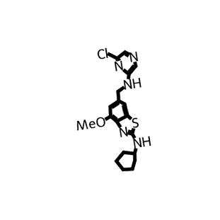 COc1cc(CNc2cncc(Cl)n2)cc2sc(NC3CCCCC3)nc12